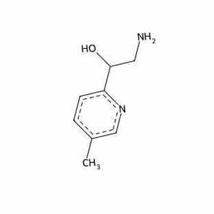 Cc1ccc(C(O)CN)nc1